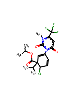 CC(C)OC(=O)C1(C(C)C)C=C(n2c(=O)cc(C(F)(F)F)n(C)c2=O)C=CC1Cl